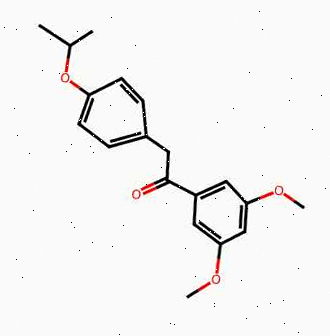 COc1cc(OC)cc(C(=O)Cc2ccc(OC(C)C)cc2)c1